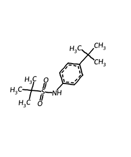 CC(C)(C)c1ccc(NS(=O)(=O)C(C)(C)C)cc1